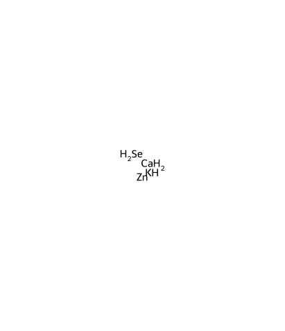 [CaH2].[KH].[SeH2].[Zn]